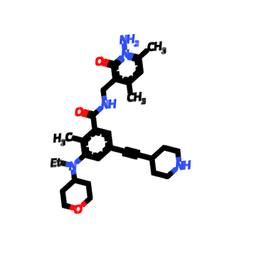 CCN(c1cc(C#CC2CCNCC2)cc(C(=O)NCc2c(C)cc(C)n(N)c2=O)c1C)C1CCOCC1